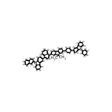 CC1(C)c2cc(-c3ccc(-c4ccc5c(c4)c4ccccc4n5-c4ccccc4)cc3)ccc2-c2ccc(-c3ccc(-c4ccc5c(c4)c4ccccc4n5-c4ccc5ccccc5c4)c4ccccc34)cc21